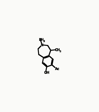 BN1CCc2cc(O)c(C(C)=O)cc2C(C)C1